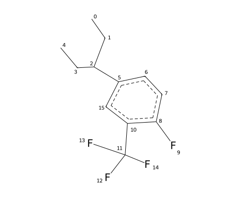 CCC(CC)c1ccc(F)c(C(F)(F)F)c1